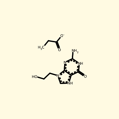 CCC(=O)[O-].Nc1nc2c([nH]c[n+]2CCO)c(=O)[nH]1